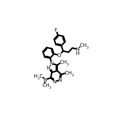 CNCCC(Oc1ccccc1-n1nc2c(N(C)C)nnc(C)c2c1C)c1ccc(F)cc1